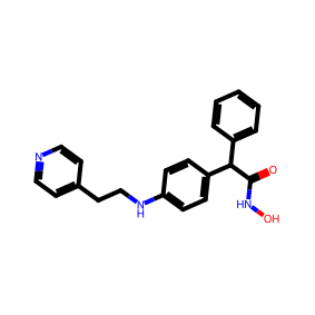 O=C(NO)C(c1ccccc1)c1ccc(NCCc2ccncc2)cc1